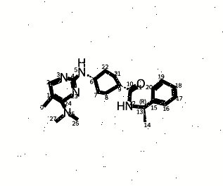 Cc1cnc(N[C@H]2CC[C@@H](C(=O)N[C@H](C)c3ccccc3)CC2)nc1N(C)C